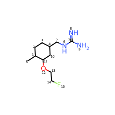 CC1CCC(CNC(=N)N)CC1OCCF